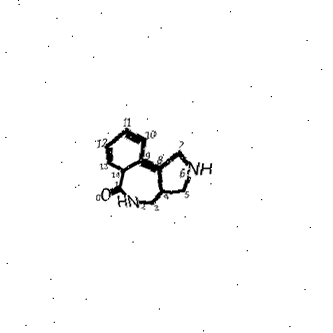 O=C1NCC2CNCC2=C2C=CC=CC12